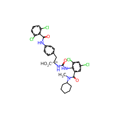 CN(C(=O)c1cc(Cl)cc(Cl)c1NC(=O)N[C@@H](Cc1ccc(NC(=O)c2c(Cl)cccc2Cl)cc1)C(=O)O)C1CCCCC1